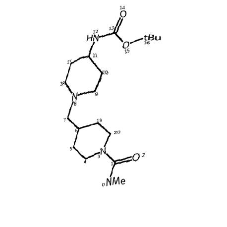 CNC(=O)N1CCC(CN2CCC(NC(=O)OC(C)(C)C)CC2)CC1